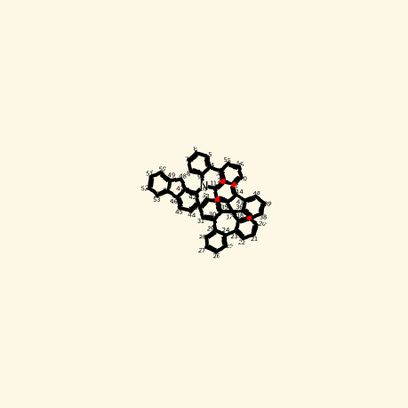 c1ccc(-c2ccccc2N(c2ccc3c(c2)C2(c4ccccc4-c4ccccc4-c4ccccc42)c2ccccc2-3)c2cccc3c2Cc2ccccc2-3)cc1